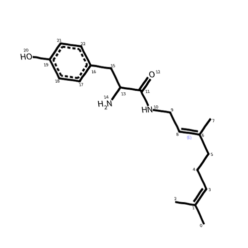 CC(C)=CCC/C(C)=C/CNC(=O)C(N)Cc1ccc(O)cc1